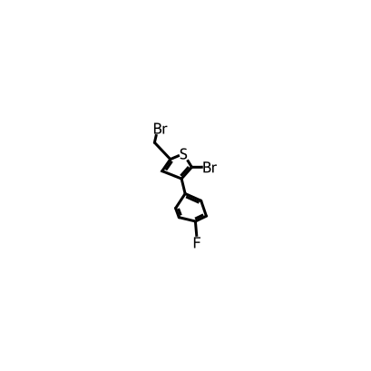 Fc1ccc(-c2cc(CBr)sc2Br)cc1